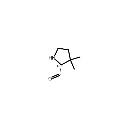 CC1(C)CCN[C@H]1C=O